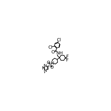 Cn1cc(S(=O)(=O)N2CCC(C3(CNC(=O)c4ccc(Cl)cc4Cl)CCC(F)(F)CC3)CC2)nn1